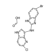 Clc1ccc2[nH]cc(Nc3nc4cc(Br)ccc4[nH]3)c2n1.O=CO